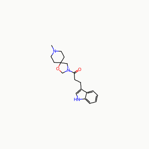 CN1CCC2(CC1)CN(C(=O)CCc1c[nH]c3ccccc13)CO2